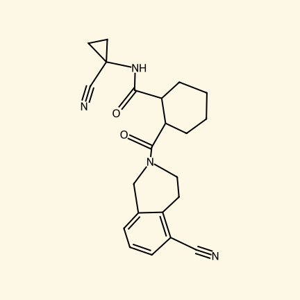 N#Cc1cccc2c1CCN(C(=O)C1CCCCC1C(=O)NC1(C#N)CC1)C2